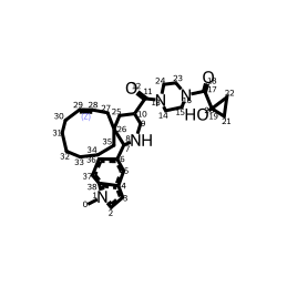 Cn1ccc2cc(C3NCC(C(=O)N4CCN(C(=O)C5(O)CC5)CC4)CC34C/C=C\CCCCCC4)ccc21